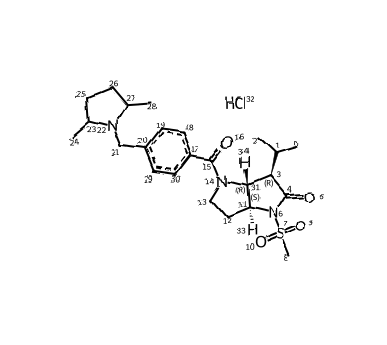 CC(C)[C@H]1C(=O)N(S(C)(=O)=O)[C@H]2CCN(C(=O)c3ccc(CN4C(C)CCC4C)cc3)[C@H]12.Cl